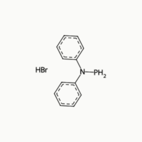 Br.PN(c1ccccc1)c1ccccc1